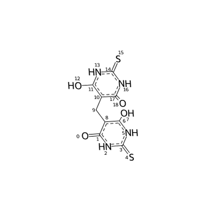 O=c1[nH]c(=S)[nH]c(O)c1Cc1c(O)[nH]c(=S)[nH]c1=O